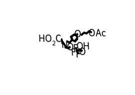 CC(=O)OCCCCOc1ccc(C2CN(CCC(=O)O)CCO2)cc1.O=C(O)C(F)(F)F